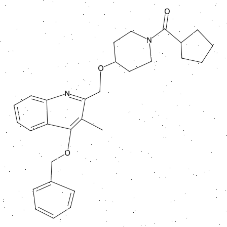 Cc1c(COC2CCN(C(=O)C3CCCC3)CC2)nc2ccccc2c1OCc1ccccc1